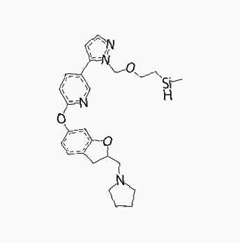 C[SiH](C)CCOCn1nccc1-c1ccc(Oc2ccc3c(c2)OC(CN2CCCC2)C3)nc1